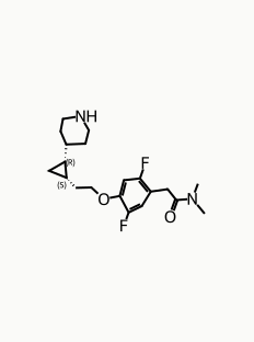 CN(C)C(=O)Cc1cc(F)c(OCC[C@@H]2C[C@@H]2C2CCNCC2)cc1F